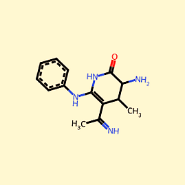 CC(=N)C1=C(Nc2ccccc2)NC(=O)C(N)C1C